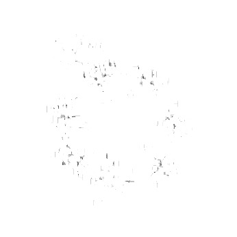 CC1(C)OC(=O)N(C(N)=O)C1=O.OC[C@H]1O[C@@H]2O[C@H]3[C@H](O)[C@@H](O)[C@@H](O[C@H]4[C@H](O)[C@@H](O)[C@@H](O[C@H]5[C@H](O)[C@@H](O)[C@@H](O[C@H]6[C@H](O)[C@@H](O)[C@@H](O[C@H]7[C@H](O)[C@@H](O)[C@@H](O[C@H]8[C@H](O)[C@@H](O)[C@@H](O[C@H]1[C@H](O)[C@H]2O)O[C@@H]8CO)O[C@@H]7CO)O[C@@H]6CO)O[C@@H]5CO)O[C@@H]4CO)O[C@@H]3CO